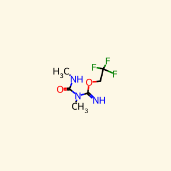 CNC(=O)N(C)C(=N)OCC(F)(F)F